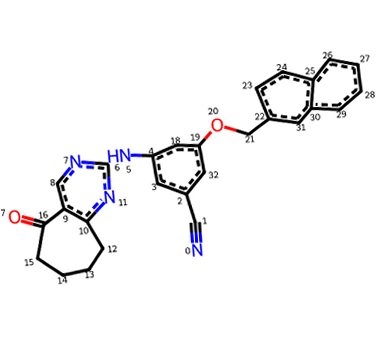 N#Cc1cc(Nc2ncc3c(n2)CCCCC3=O)cc(OCc2ccc3ccccc3c2)c1